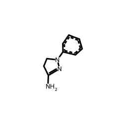 NC1=NN(c2ccccc2)CC1